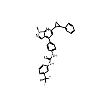 Cn1ncc2c(-c3ccc(NC(=O)Nc4cccc(C(F)(F)F)c4)cc3)cc(C3CC3c3ccccc3)nc21